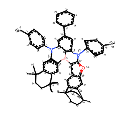 CC(C)(C)c1ccc(N2c3cc4c(cc3B3c5c2cc(-c2ccccc2)cc5N(c2ccc(C(C)(C)C)cc2)c2oc5cc6c(cc5c23)C2(C)CCC6(C)CC2)C(C)(C)CCC4(C)C)cc1